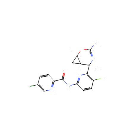 C[C@@]1(c2nc(NC(=O)c3ccc(Cl)cn3)ccc2F)N=C(N)O[C@@H]2C[C@@H]21